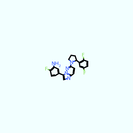 Nc1cc(-c2cnc3ccc(N4CCCC4c4cc(F)ccc4F)nn23)ccc1F